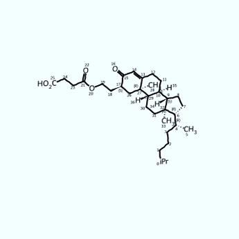 CC(C)CCC[C@@H](C)[C@H]1CC[C@H]2[C@@H]3CCC4=CC(=O)[C@H](CCOC(=O)CCC(=O)O)C[C@]4(C)[C@H]3CC[C@]12C